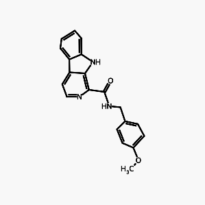 COc1ccc(CNC(=O)c2nccc3c2[nH]c2ccccc23)cc1